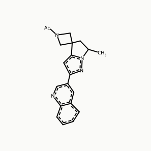 CC(=O)N1CC2(CC(C)n3nc(-c4cnc5ccccc5c4)cc32)C1